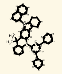 CC1(C)c2ccccc2N(c2nc(-c3ccccc3)nc(-c3ccccc3)n2)c2cc3c4c(n(-c5cccc6ccccc56)c3cc21)CCC=C4